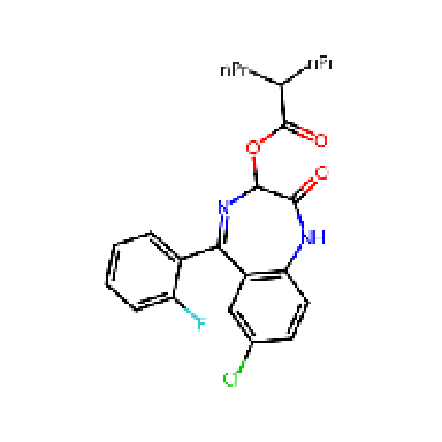 CCCC(CCC)C(=O)OC1N=C(c2ccccc2F)c2cc(Cl)ccc2NC1=O